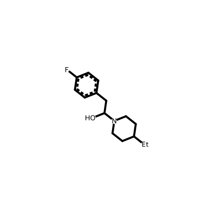 CCC1CCN(C(O)Cc2ccc(F)cc2)CC1